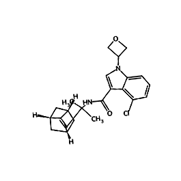 CC(C)(NC(=O)c1cn(C2COC2)c2cccc(Cl)c12)C1=C2[C@@H]3C[C@H](C1)C[C@H]2C3